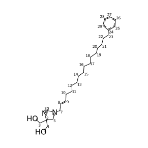 OCC1(CO)CN(CC=CCCCCCCCCCCCCCCc2ccccc2)C=N1